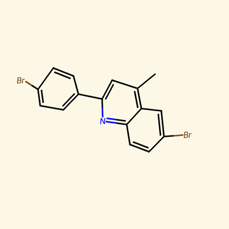 Cc1cc(-c2ccc(Br)cc2)nc2ccc(Br)cc12